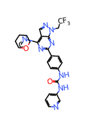 O=C(Nc1ccc(-c2nc(N3CC4CCC3CO4)c3cnn(CC(F)(F)F)c3n2)cc1)Nc1cccnc1